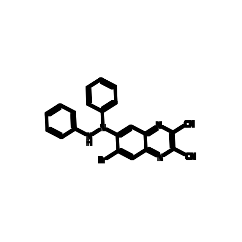 N#Cc1nc2cc(Br)c(N(Nc3ccccc3)c3ccccc3)cc2nc1C#N